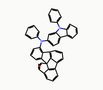 c1ccc(N(c2ccc3c4ccccc4n(-c4ccccc4)c3c2)c2cccc3c2-c2cccc4c2C32c3ccccc3-c3cccc-4c32)cc1